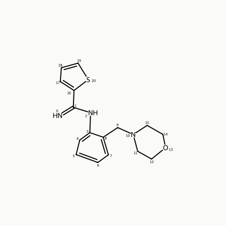 N=C(Nc1ccccc1CN1CCOCC1)c1cccs1